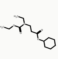 CCOC(=O)N(CC)CCC(=O)OC1CCCCC1